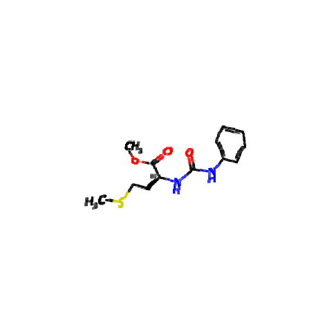 COC(=O)[C@H](CCSC)NC(=O)Nc1ccccc1